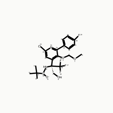 COCOc1c([C@](CO)(N[S+]([O-])C(C)(C)C)C(F)(F)F)cc(Cl)nc1-c1ccc(F)cc1